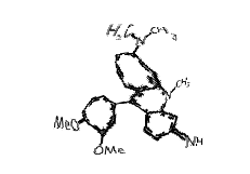 COc1ccc(-c2c3ccc(=N)cc-3n(C)c3cc(N(C)C)ccc23)cc1OC